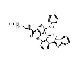 CNCCNC(=O)c1cnc(Nc2ccccn2)nc1Nc1cccc(-c2nc3ccccc3o2)c1OC